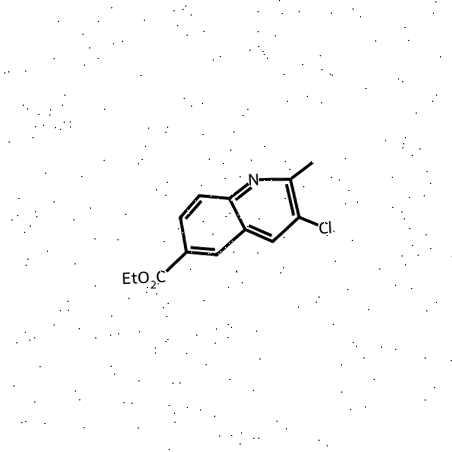 CCOC(=O)c1ccc2nc(C)c(Cl)cc2c1